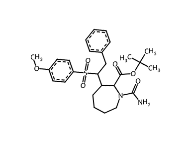 COc1ccc(S(=O)(=O)C(Cc2ccccc2)C2CCCCN(C(N)=O)C2C(=O)OC(C)(C)C)cc1